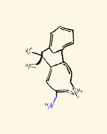 C=C(N)/C=C1\C(=C/C)c2ccccc2C1(C)C